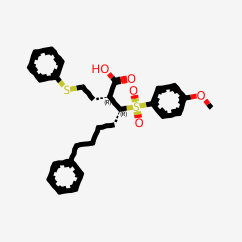 COc1ccc(S(=O)(=O)[C@H](CCCCc2ccccc2)[C@H](CCSc2ccccc2)C(=O)O)cc1